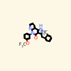 O=c1c2c(Cc3ccccc3C(F)(F)F)n[nH]c2c2cccnc2n1-c1cccc(OC(F)(F)F)c1